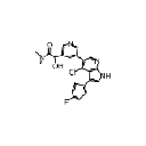 CN(C)C(=O)C(O)c1cncc(-c2cnc3[nH]cc(-c4ccc(F)cc4)c3c2Cl)c1